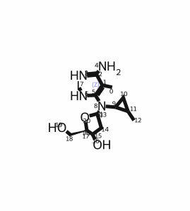 C/C(C(=N)N)=C(/NI)N(C1CC1C)[C@H]1CC(O)[C@@H](CO)O1